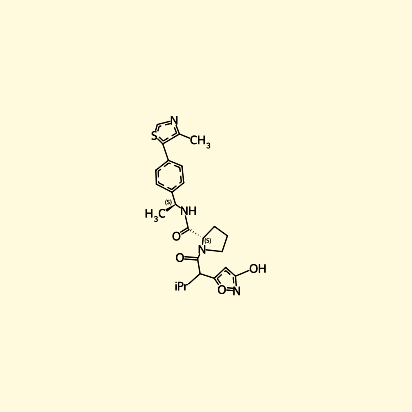 Cc1ncsc1-c1ccc([C@H](C)NC(=O)[C@@H]2CCCN2C(=O)C(c2cc(O)no2)C(C)C)cc1